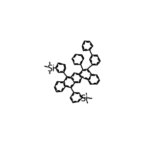 C[Si](C)(C)c1cccc(-c2c3ccccc3c(-c3cccc([Si](C)(C)C)c3)c3cc4c(cc23)c(-c2ccccc2)c(-c2cccc(-c3ccccc3)c2)c2ccccc24)c1